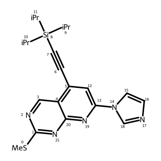 CSc1ncc2c(C#C[Si](C(C)C)(C(C)C)C(C)C)cc(-n3ccnc3)nc2n1